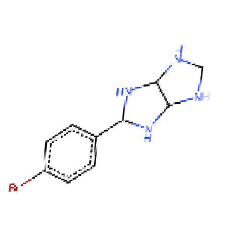 Brc1ccc(C2NC3NCNC3N2)cc1